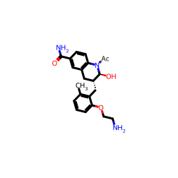 CC(=O)N1c2ccc(C(N)=O)cc2C[C@@H](Cc2c(C)cccc2OCCN)[C@@H]1O